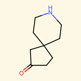 O=C1CCC2(CCNCC2)C1